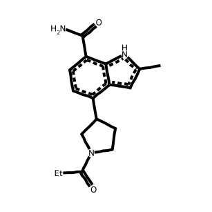 CCC(=O)N1CCC(c2ccc(C(N)=O)c3[nH]c(C)cc23)C1